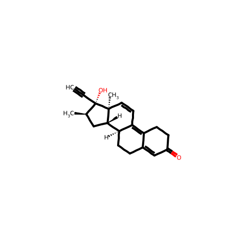 C#C[C@]1(O)[C@H](C)C[C@H]2[C@@H]3CCC4=CC(=O)CCC4=C3C=C[C@@]21C